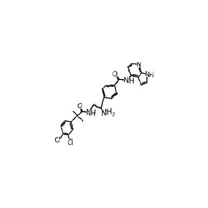 CC(C)(C(=O)NCC(N)c1ccc(C(=O)Nc2ccnc3[nH]ccc23)cc1)c1ccc(Cl)c(Cl)c1